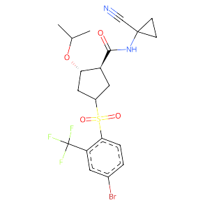 CC(C)O[C@H]1CC(S(=O)(=O)c2ccc(Br)cc2C(F)(F)F)C[C@@H]1C(=O)NC1(C#N)CC1